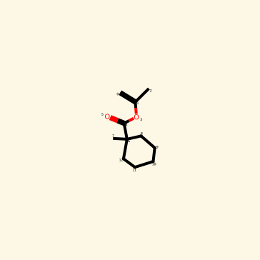 C=C(C)OC(=O)C1(C)CCCCC1